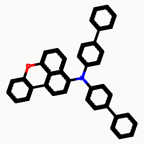 c1ccc(-c2ccc(N(c3ccc(-c4ccccc4)cc3)c3ccc4c5c(cccc35)Oc3ccccc3-4)cc2)cc1